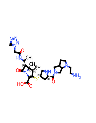 CC(NC(=O)Cn1cnnn1)[C@H]1C(=O)N2C(C(=O)O)=C(S[C@@H]3CN[C@H](C(=O)N4CC5CCN(CCN)C5C4)C3)[C@H](C)[C@]12C